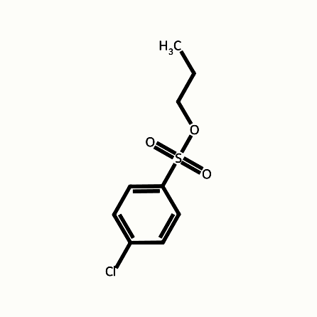 CCCOS(=O)(=O)c1ccc(Cl)cc1